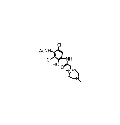 CC(=O)Nc1c(Cl)cc(NC(=O)C[N+]2(C)CCN(C)CC2)c(O)c1Cl